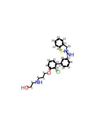 OCCNCCCOc1cccc(-c2cccc(NN3Cc4ccccc4S3)c2)c1Cl